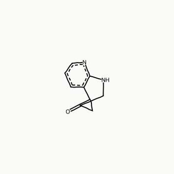 O=C1CC12CNc1ncccc12